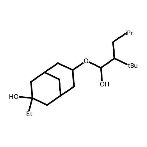 CCC1(O)CC2CC(CC(OC(O)C(CC(C)C)C(C)(C)C)C2)C1